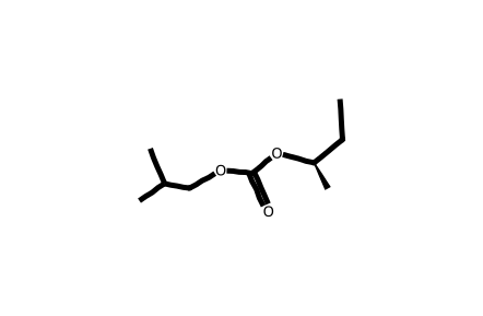 CC[C@@H](C)OC(=O)OCC(C)C